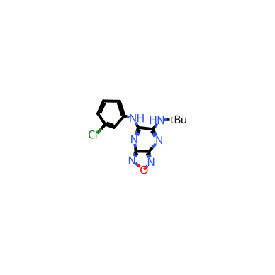 CC(C)(C)Nc1nc2nonc2nc1Nc1cccc(Cl)c1